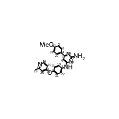 COc1ccc(-c2cc(Nc3ccc(Oc4ccnc(C)c4)cc3)nc(N)n2)cc1